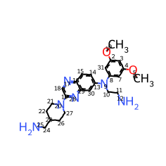 COc1cc(OC)cc(N(CCN)c2ccc3ncc(N4CCC(CN)CC4)nc3c2)c1